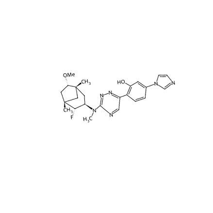 CO[C@H]1C[C@]2(C)C[C@@]1(C)C[C@@H](N(C)c1ncc(-c3ccc(-n4ccnc4)cc3O)nn1)[C@@H]2F